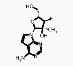 C[C@@]1(O)[C@H](F)[C@@H](CO)O[C@H]1n1ccc2c(N)ncnc21